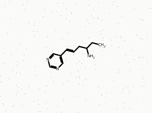 CCC(N)CC=Cc1cncnc1